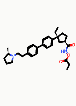 CCC(=O)ONC(=O)[C@@H]1CC[C@@](CC)(c2ccc(-c3ccc(CCN4CCC[C@H]4C)cc3)cc2)C1